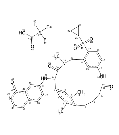 Cc1cc2cc(C)c1CCCC(=O)Nc1ccc(S(=O)(=O)C3CC3)c(c1)CN(C)C(=O)C2Nc1ccc2cc[nH]c(=O)c2c1.O=C(O)C(F)(F)F